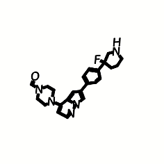 O=CN1CCN(c2ccnn3cc(-c4ccc(C5(F)CCCNC5)cc4)cc23)CC1